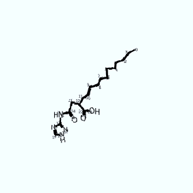 CCCCCCCCCC=CCC(CC(=O)Nc1nc[nH]n1)C(=O)O